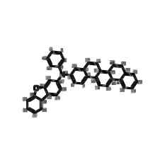 c1ccc(N(c2ccc3c(ccc4c3ccc3c5ccccc5ccc34)c2)c2ccc3c(c2)oc2ccccc23)cc1